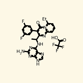 CCc1cccc2nc(C(C)Nc3nc(N)nc4[nH]cnc34)c(-c3cc(F)cc(F)c3)c(=O)n12.O=C(O)C(F)(F)F